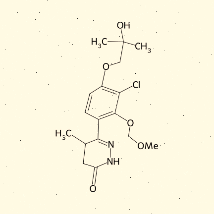 COCOc1c(C2=NNC(=O)CC2C)ccc(OCC(C)(C)O)c1Cl